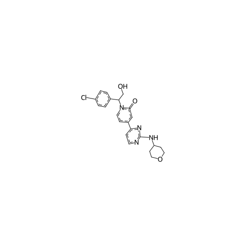 O=c1cc(-c2ccnc(NC3CCOCC3)n2)ccn1C(CO)c1ccc(Cl)cc1